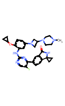 CN1CCN(C2CN(c3ccc(OC4CC4)c(Nc4ncc(F)c(-c5ccc6c(c5)C(=O)NC65CC5)n4)c3)C2)CC1